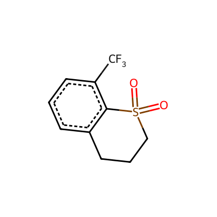 O=S1(=O)CCCc2cccc(C(F)(F)F)c21